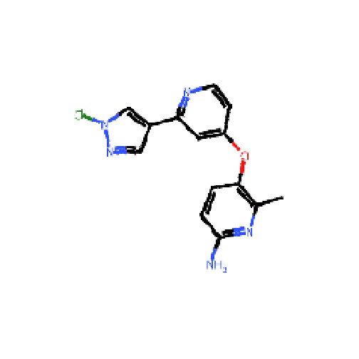 Cc1nc(N)ccc1Oc1ccnc(-c2cnn(Cl)c2)c1